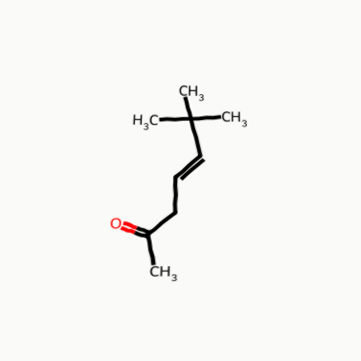 CC(=O)C/C=C/C(C)(C)C